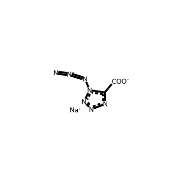 [N-]=[N+]=Nn1nnnc1C(=O)[O-].[Na+]